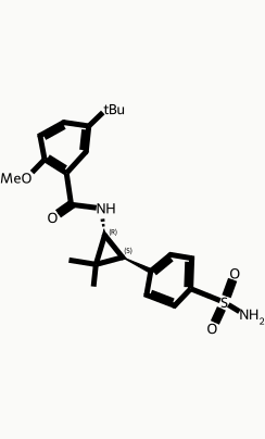 COc1ccc(C(C)(C)C)cc1C(=O)N[C@@H]1[C@@H](c2ccc(S(N)(=O)=O)cc2)C1(C)C